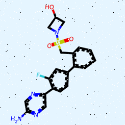 Nc1cnc(-c2ccc(-c3ccccc3CS(=O)(=O)N3CC(O)C3)cc2F)cn1